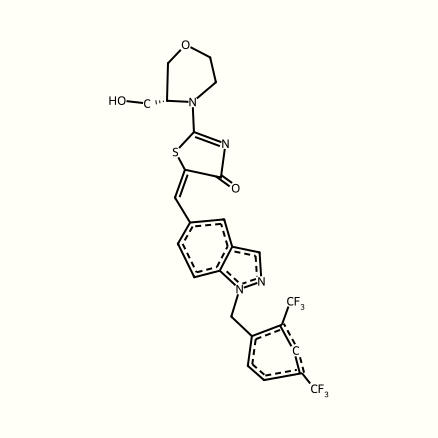 O=C1N=C(N2CCOC[C@H]2CO)SC1=Cc1ccc2c(cnn2Cc2ccc(C(F)(F)F)cc2C(F)(F)F)c1